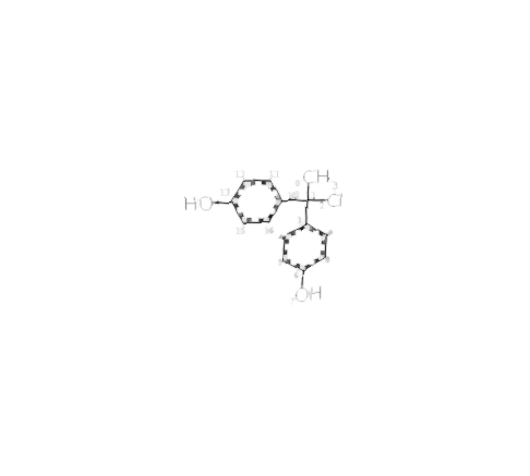 CC(Cl)(c1ccc(O)cc1)c1ccc(O)cc1